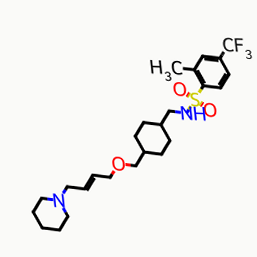 Cc1cc(C(F)(F)F)ccc1S(=O)(=O)NCC1CCC(COCC=CCN2CCCCC2)CC1